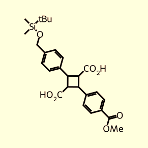 COC(=O)c1ccc(C2C(C(=O)O)C(c3ccc(CO[Si](C)(C)C(C)(C)C)cc3)C2C(=O)O)cc1